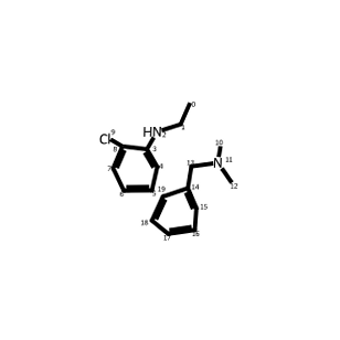 CCNc1ccccc1Cl.CN(C)Cc1ccccc1